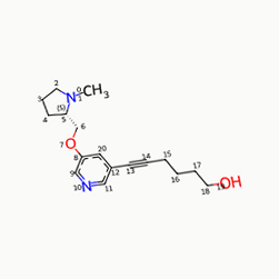 CN1CCC[C@H]1COc1cncc(C#CCCCCO)c1